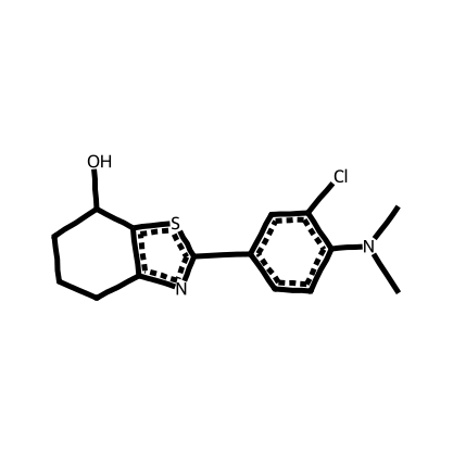 CN(C)c1ccc(-c2nc3c(s2)C(O)CCC3)cc1Cl